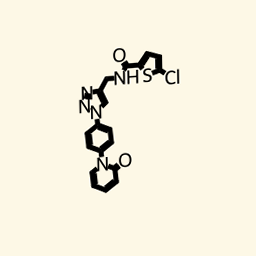 O=C(NCc1cn(-c2ccc(-n3ccccc3=O)cc2)nn1)c1ccc(Cl)s1